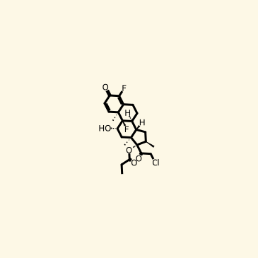 CCC(=O)O[C@@]1(C(=O)CCl)[C@H](C)C[C@H]2[C@@H]3CCC4=C(F)C(=O)C=C[C@]4(C)[C@@]3(F)[C@@H](O)C[C@@]21C